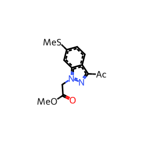 COC(=O)Cn1nc(C(C)=O)c2ccc(SC)cc21